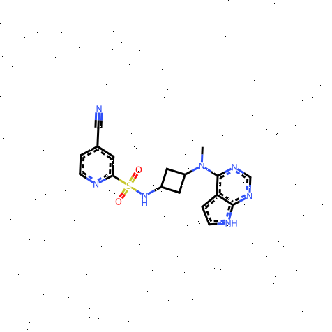 CN(c1ncnc2[nH]ccc12)C1CC(NS(=O)(=O)c2cc(C#N)ccn2)C1